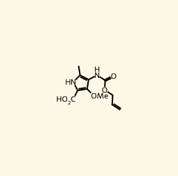 C=CCOC(=O)Nc1c(C)[nH]c(C(=O)O)c1OC